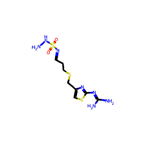 NNS(=O)(=O)/N=C/CCSCc1csc(N=C(N)N)n1